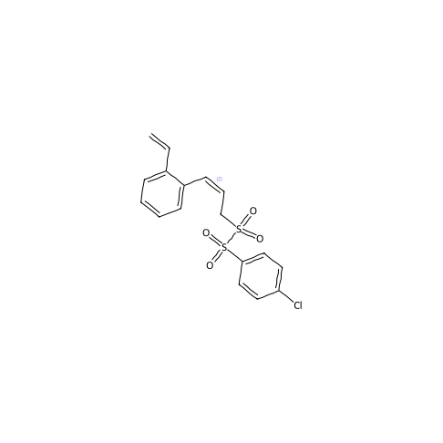 C=Cc1ccccc1/C=C\CS(=O)(=O)S(=O)(=O)c1ccc(Cl)cc1